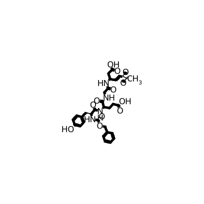 CS(=O)(=O)/C=C/C(CC(=O)O)NC(=O)CNC(=O)C(CCC(=O)O)NC(=O)[C@H](Cc1ccc(O)cc1)NC(=O)OCc1ccccc1